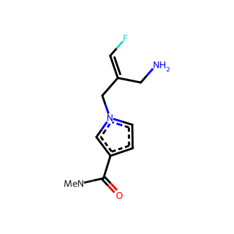 CNC(=O)c1ccn(CC(=CF)CN)c1